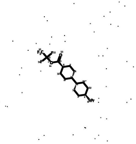 CCC[C@H]1CC[C@H]([C@H]2CC[C@H](C(=O)OC(F)(F)C(F)(F)F)CC2)CC1